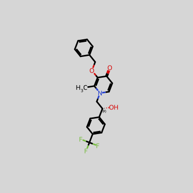 Cc1c(OCc2ccccc2)c(=O)ccn1C[C@H](O)c1ccc(C(F)(F)F)cc1